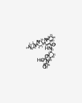 CN1CCN(c2ccc(-c3cc(C(=O)NC[C@H]4CC[C@H](CN(C(=O)O)[C@H]5CCOC5)CC4)c4ccccc4n3)cn2)CC1